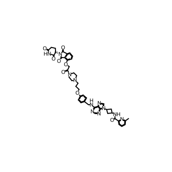 Cc1cccc(C(=O)NC2CC(n3cnc4c(NCc5ccc(OCCCN6CCN(C(=O)COc7cccc8c7C(=O)N([C@H]7CCC(=O)NC7=O)C8=O)CC6)cc5)ncnc43)C2)n1